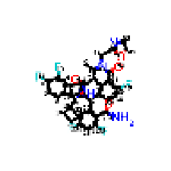 Cc1c(C(=O)N[C@H](c2ccc(F)c(F)c2)C2CCC2)c2c([C@@H](c3cc(F)cc(F)c3C(N)=O)C3CCC3)ccc(F)c2c(=O)n1Cc1ncco1